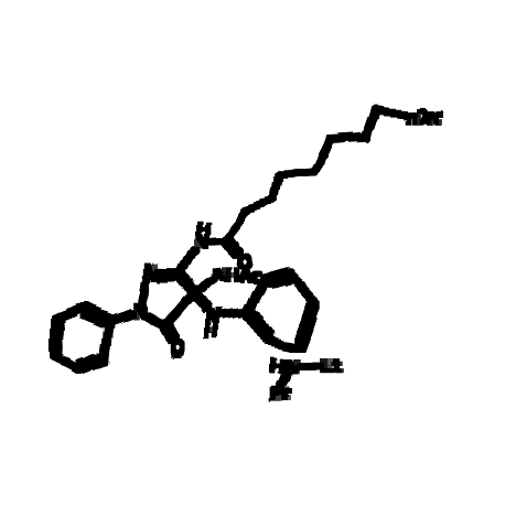 CCCCCCCCCCCCCCCCCC(=O)NC1=NN(c2ccccc2)C(=O)C1(NC(C)=O)Nc1ccccc1.CCNCC